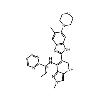 CC[C@H](NC1=C(c2nc3cc(C)c(N4CCOCC4)cc3[nH]2)CNc2cn(C)nc21)c1ncccn1